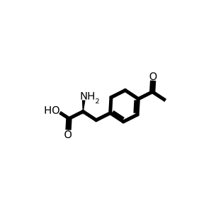 CC(=O)C1=CC=C(C[C@H](N)C(=O)O)CC1